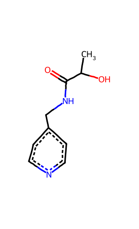 CC(O)C(=O)NCc1ccncc1